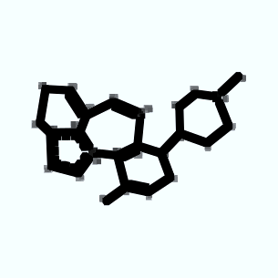 CC1=CCC(C2CCN(C)CC2)C2=C1n1ccc3c1C(=CCC3)C=N2